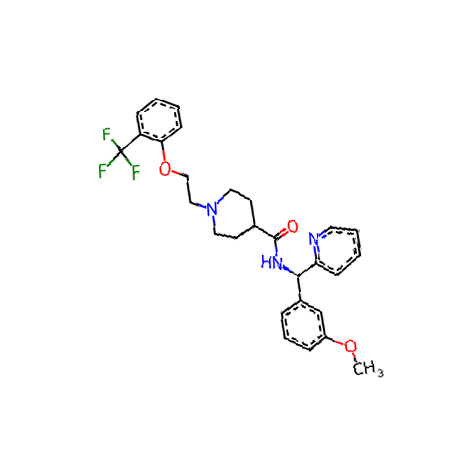 COc1cccc([C@@H](NC(=O)C2CCN(CCOc3ccccc3C(F)(F)F)CC2)c2ccccn2)c1